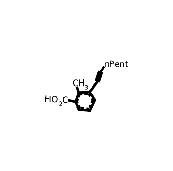 CCCCCC#Cc1cccc(C(=O)O)c1C